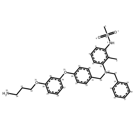 Cc1c(NS(C)(=O)=O)cccc1N(Cc1ccccc1)Cc1ccc(Oc2cccc(OCCCN)c2)cc1